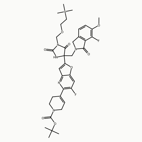 COc1ccc2c(c1F)C(=O)N(CC1(c3cc4nc(C5=CCN(C(=O)OC(C)(C)C)CC5)c(F)cc4o3)NC(=O)N(COCC[Si](C)(C)C)C1=O)C2